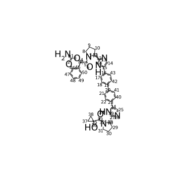 NC(=O)O[C@@H](C(=O)N1CCC[C@H]1c1ncc(-c2ccc(-c3ccc(-c4cnc([C@@H]5CCCN5C(=O)C5(O)CC5)[nH]4)cc3)cc2)[nH]1)c1ccccc1